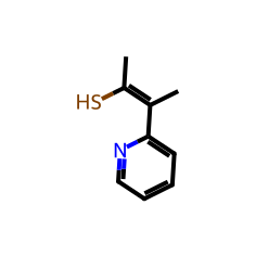 C/C(S)=C(\C)c1ccccn1